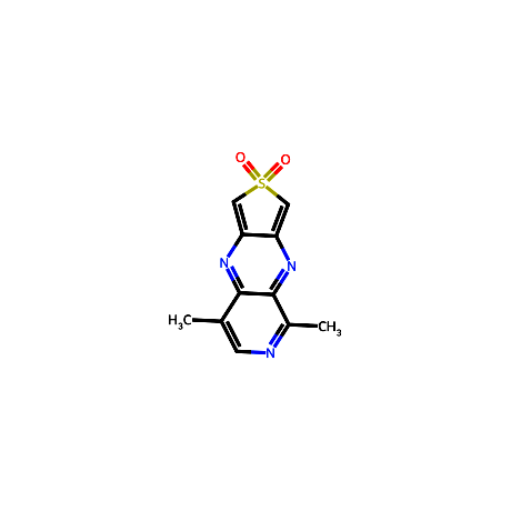 Cc1cnc(C)c2nc3c(nc12)=CS(=O)(=O)C=3